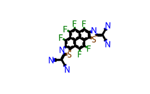 N#CC(C#N)=c1nc2c(F)c3c(F)c(F)c4c(F)c5nc(=C(C#N)C#N)sc5c5c(F)c(F)c(c2s1)c3c45